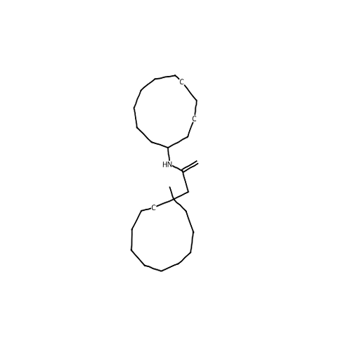 C=C(CC1(C)CCCCCCCCCC1)NC1CCCCCCCCCC1